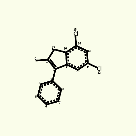 CC1=C(c2ccccc2)c2cc(Cl)cc(Cl)c2[CH]1